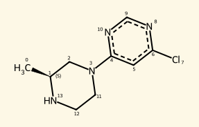 C[C@H]1CN(c2cc(Cl)ncn2)CCN1